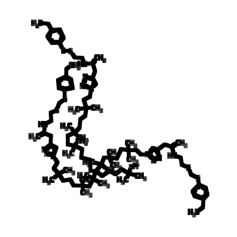 BCc1ccc(SCSCCNC(=C)Cc2cn(CCC(C)(C)CCCC(C)(C)CC(C)(C)C(CCCCC(C)(C)CCC)(CCCCC(C)(C)CCC(C)(C)CCCC(C)(C)CCn3cc(CC(=C)NCCSSc4ccc(CB)cc4)nn3)C(C)(C)CC(C)(C)CCC(C)(C)CCn3cc(CC(=C)NCCSCSc4ccc(CB)cc4)nn3)nn2)cc1